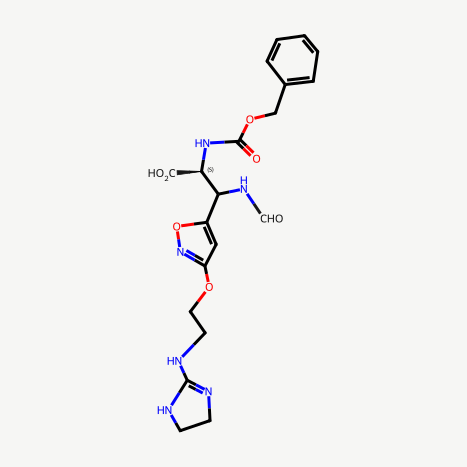 O=CNC(c1cc(OCCNC2=NCCN2)no1)[C@H](NC(=O)OCc1ccccc1)C(=O)O